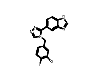 Fc1ccc(Cn2cnnc2-c2ccc3[nH]cnc3c2)cc1Cl